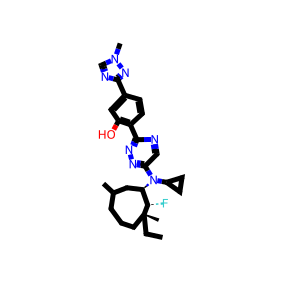 CC[C@]1(C)CCCC(C)C[C@H](N(c2cnc(-c3ccc(-c4ncn(C)n4)cc3O)nn2)C2CC2)[C@@H]1F